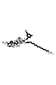 CCCCCCCCCCCCCCC#CC[C@H](COP(=O)(OC)O[C@H]1O[C@@](C#N)(c2ccc3c(N)ncnn23)[C@H](O)[C@@H]1O)OCc1cc(F)cc(C#N)c1